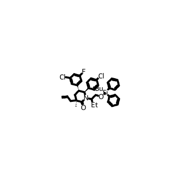 C=CC[C@@]1(C)C[C@H](c2cc(F)cc(Cl)c2)[C@@H](c2ccc(Cl)cc2)N(C(CC)CO[Si](c2ccccc2)(c2ccccc2)C(C)(C)C)C1=O